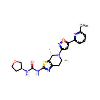 COc1cccc(-c2cc(N3[C@H](C)Cc4nc(NC(=O)N[C@H]5CCOC5)sc4[C@@H]3C)no2)n1